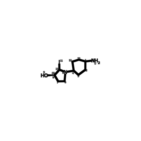 NC1CCC(N2CC[C@@H](O)C2I)CC1